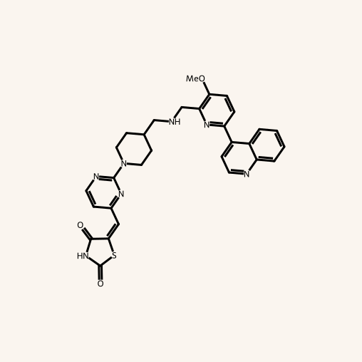 COc1ccc(-c2ccnc3ccccc23)nc1CNCC1CCN(c2nccc(C=C3SC(=O)NC3=O)n2)CC1